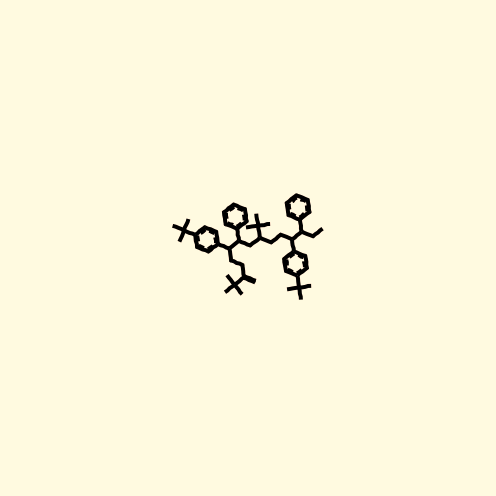 C=C(CCC(c1ccc(C(C)(C)C)cc1)C(CC(CCC(c1ccc(C(C)(C)C)cc1)C(CC)c1ccccc1)C(C)(C)C)c1ccccc1)C(C)(C)C